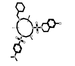 C[C@@H]1CN(CC2CCCCC2)C[C@@H](C)CN(S(=O)(=O)N2CCc3cc(Cl)ccc3C2)C[C@@H](C)CN(S(=O)(=O)c2ccc(N(C)C)cc2)C1